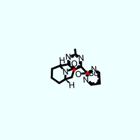 Cc1nc(-c2ncccn2)c2c(n1)[C@H]1CCC[C@@H](C2)N1C(=O)OC(C)(C)C